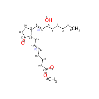 CCCCCC(O)/C=C/C1CCC(=O)C1C/C=C/CCCC(=O)OC